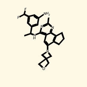 Cc1nc(NC(C)c2cc(N)cc(C(F)F)c2)c2cc(N3CC4(COC4)C3)c3c(c2n1)CCC3